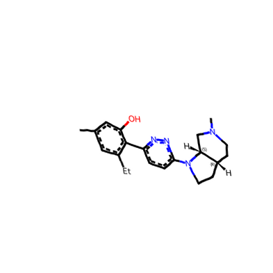 CCc1cc(C)cc(O)c1-c1ccc(N2CC[C@H]3CCN(C)C[C@H]32)nn1